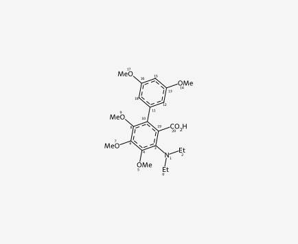 CCN(CC)c1c(OC)c(OC)c(OC)c(-c2cc(OC)cc(OC)c2)c1C(=O)O